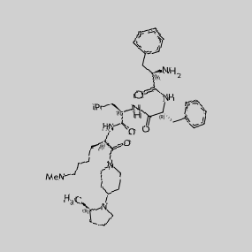 CNCCCC[C@@H](NC(=O)[C@@H](CC(C)C)NC(=O)[C@@H](Cc1ccccc1)NC(=O)[C@H](N)Cc1ccccc1)C(=O)N1CCC(N2CCC[C@H]2C)CC1